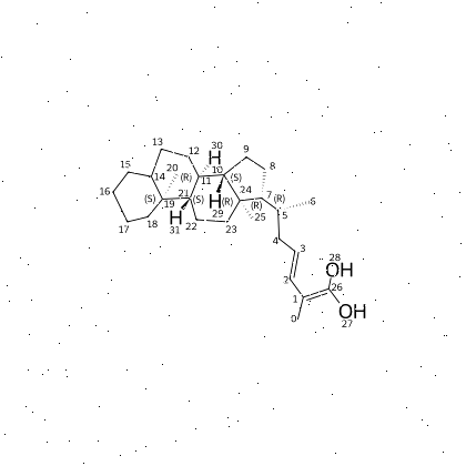 CC(C=CC[C@@H](C)[C@H]1CC[C@H]2[C@@H]3CCC4CCCC[C@]4(C)[C@H]3CC[C@]12C)=C(O)O